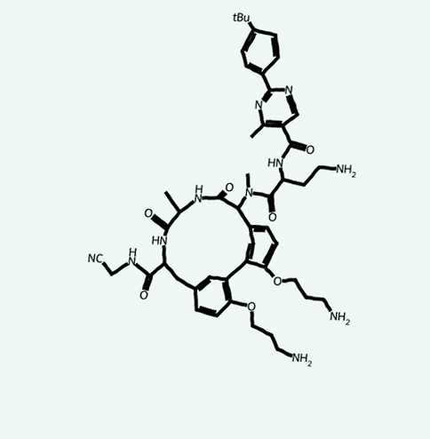 Cc1nc(-c2ccc(C(C)(C)C)cc2)ncc1C(=O)NC(CCN)C(=O)N(C)C1C(=O)NC(C)C(=O)NC(C(=O)NCC#N)Cc2ccc(OCCCN)c(c2)-c2cc1ccc2OCCCN